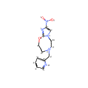 O=[N+]([O-])c1cn2c(n1)OCCN(Cc1ccccn1)CC2